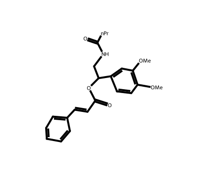 CCCC(=O)NCC(OC(=O)C=Cc1ccccc1)c1ccc(OC)c(OC)c1